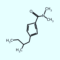 CCC(C)Cc1ccc(C(=O)N(C)C)cc1